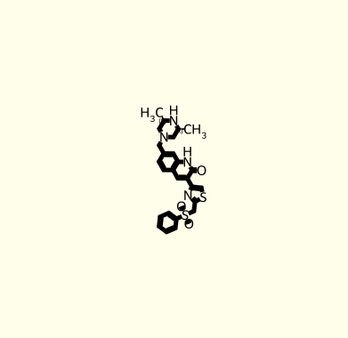 C[C@@H]1CN(Cc2ccc3cc(-c4csc(CS(=O)(=O)c5ccccc5)n4)c(=O)[nH]c3c2)C[C@H](C)N1